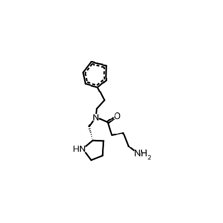 NCCCC(=O)N(CCc1ccccc1)C[C@@H]1CCCN1